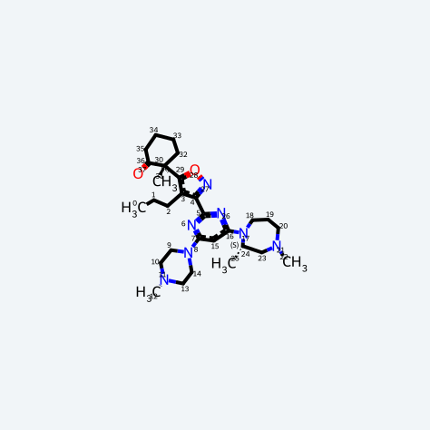 CCCc1c(-c2nc(N3CCN(C)CC3)cc(N3CCCN(C)C[C@@H]3C)n2)noc1[C@@]1(C)CCCCC1=O